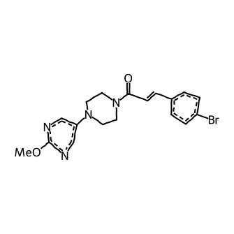 COc1ncc(N2CCN(C(=O)/C=C/c3ccc(Br)cc3)CC2)cn1